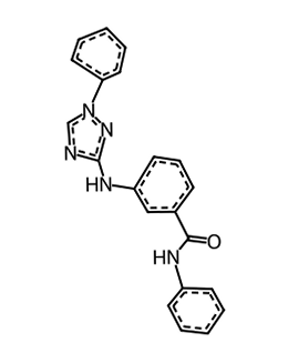 O=C(Nc1ccccc1)c1cccc(Nc2ncn(-c3ccccc3)n2)c1